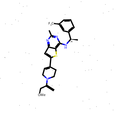 C=C(COC)N1CC=C(c2cc3nc(C)nc(N[C@H](C)c4cccc(C(F)(F)F)c4)c3s2)CC1